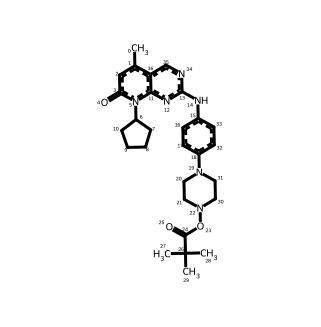 Cc1cc(=O)n(C2CCCC2)c2nc(Nc3ccc(N4CCN(OC(=O)C(C)(C)C)CC4)cc3)ncc12